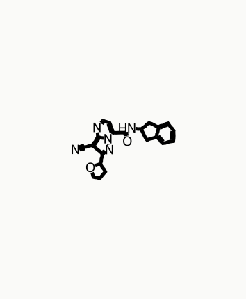 N#Cc1c(C2CCCO2)nn2c(C(=O)NC3Cc4ccccc4C3)ccnc12